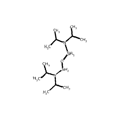 CC(C)N([SiH2]O[SiH2]N(C(C)C)C(C)C)C(C)C